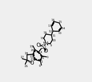 Cc1c(C)c(S(=O)(=O)N2CCC(C3C=CCC=C3)CC2)c(C)c2c1OC(C)(C)C2